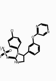 NS(=O)(=O)N=C1NCC(c2cccc(Oc3cnccn3)c2)N1c1ccc(Cl)cc1